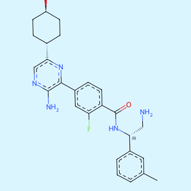 Cc1cccc([C@@H](CN)NC(=O)c2ccc(-c3nc([C@H]4CC[C@H](O)CC4)cnc3N)cc2F)c1